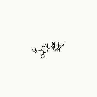 CCN/N=C\N(N)c1cc(OC)c([C@H]2CO2)cn1